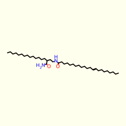 CCCCCCCCC=CCCCCCCCCCCCC(=O)NCCC(CCCCCCCCCCCCCC)C(N)=O